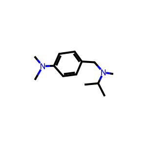 CC(C)N(C)Cc1ccc(N(C)C)cc1